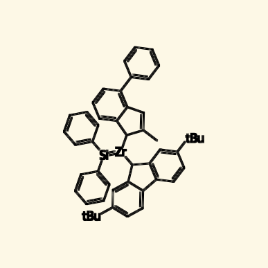 CC1=Cc2c(-c3ccccc3)cccc2[CH]1[Zr]([CH]1c2cc(C(C)(C)C)ccc2-c2ccc(C(C)(C)C)cc21)=[Si](c1ccccc1)c1ccccc1